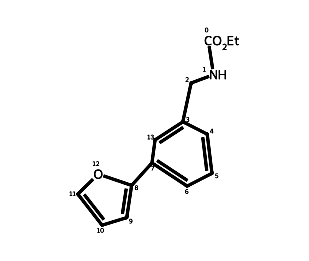 CCOC(=O)NCc1cccc(-c2ccco2)c1